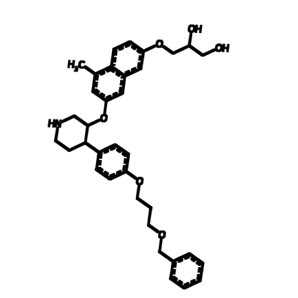 Cc1cc(OC2CNCCC2c2ccc(OCCCOCc3ccccc3)cc2)cc2cc(OCC(O)CO)ccc12